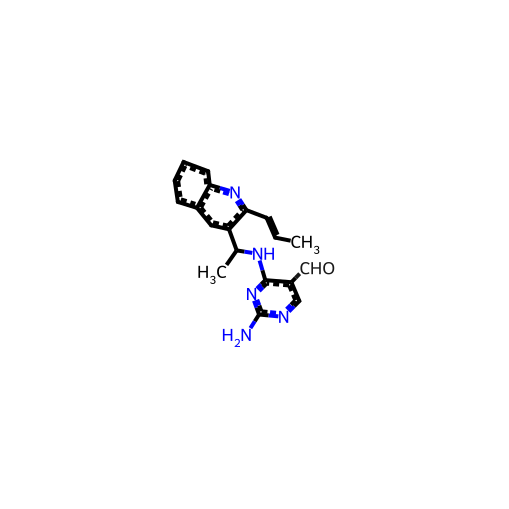 C/C=C/c1nc2ccccc2cc1C(C)Nc1nc(N)ncc1C=O